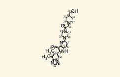 Cc1c(-c2[nH]c3ccc(N4CCN(C(=O)CN5CCC(CO)CC5)CC4)nc3c2C(C)C)cn2ncnc2c1C